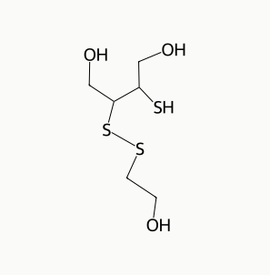 OCCSSC(CO)C(S)CO